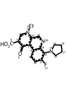 CCn1cc(C(=O)O)c(=O)c2c3ccc(F)c(N4CCCC4)c3ncc21